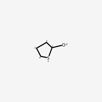 [O]C1CCCS1